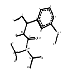 CCC(c1cccc(OC)c1)C(C)C(=O)N(C(C)C)C(C)C